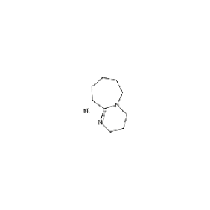 C1CCC2=NCCCN2CC1.[N]